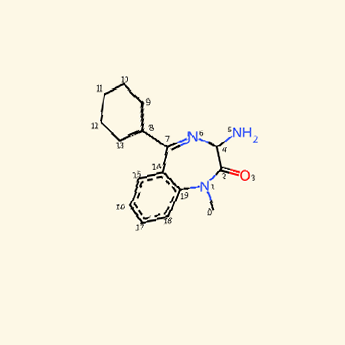 CN1C(=O)C(N)N=C(C2CCCCC2)c2ccccc21